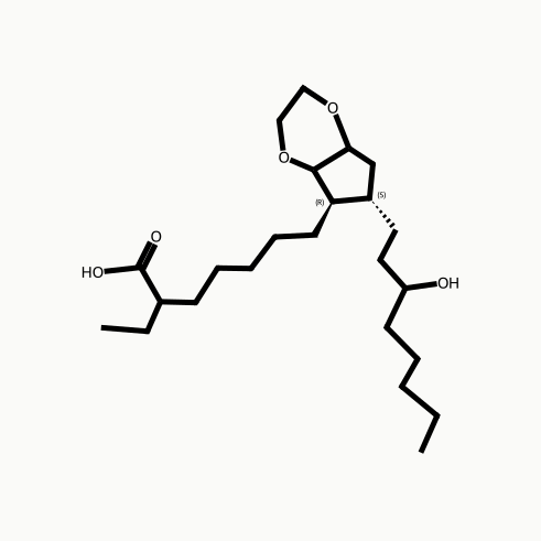 CCCCCC(O)CC[C@H]1CC2OCCOC2[C@@H]1CCCCCC(CC)C(=O)O